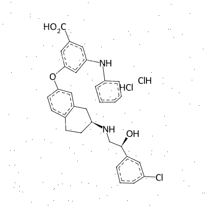 Cl.Cl.O=C(O)c1cc(Nc2ccccc2)cc(Oc2ccc3c(c2)C[C@@H](NC[C@@H](O)c2cccc(Cl)c2)CC3)c1